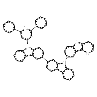 c1ccc(-c2cc(-n3c4ccccc4c4cc(-c5ccc6c7ccccc7n(-c7ccc8sc9cccnc9c8c7)c6c5)ccc43)cc(-c3ccccc3)n2)cc1